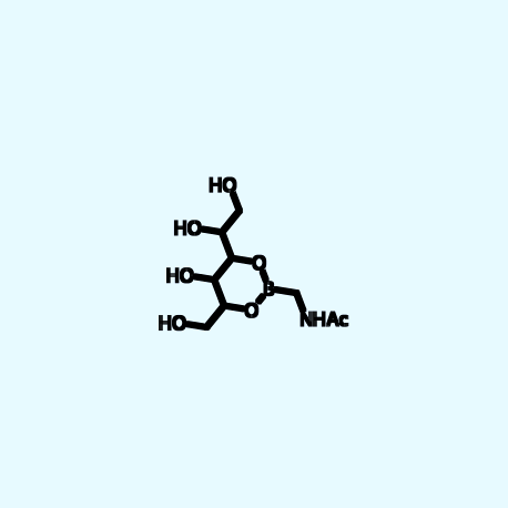 CC(=O)NCB1OC(CO)C(O)C(C(O)CO)O1